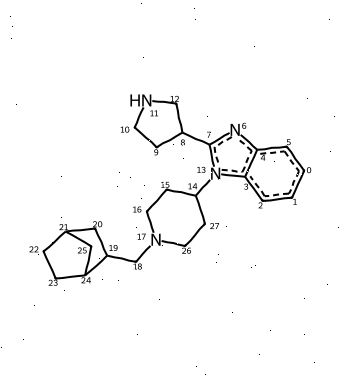 c1ccc2c(c1)nc(C1CCNC1)n2C1CCN(CC2CC3CCC2C3)CC1